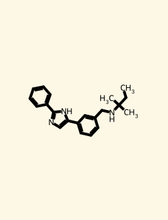 CCC(C)(C)NCc1cccc(-c2cnc(-c3ccccc3)[nH]2)c1